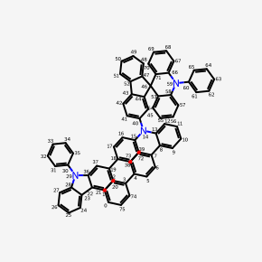 c1ccc(-c2ccc(-c3ccccc3N(c3ccc(-c4ccc5c6ccccc6n(-c6ccccc6)c5c4)cc3)c3ccc4c(c3)C3(c5ccccc5-4)c4ccccc4N(c4ccccc4)c4ccccc43)cc2)cc1